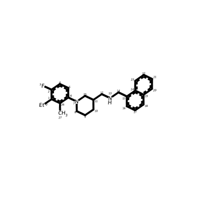 CCc1c(F)ccc(N2CCCC(CNCc3cccc4ccccc34)C2)c1C